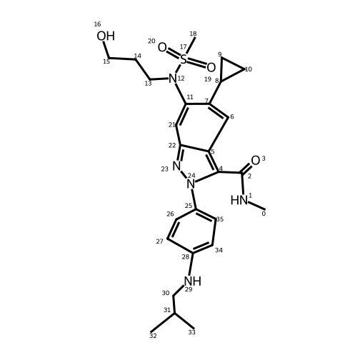 CNC(=O)c1c2cc(C3CC3)c(N(CCCO)S(C)(=O)=O)cc2nn1-c1ccc(NCC(C)C)cc1